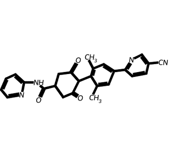 Cc1cc(-c2ccc(C#N)cn2)cc(C)c1C1C(=O)CC(C(=O)Nc2ccccn2)CC1=O